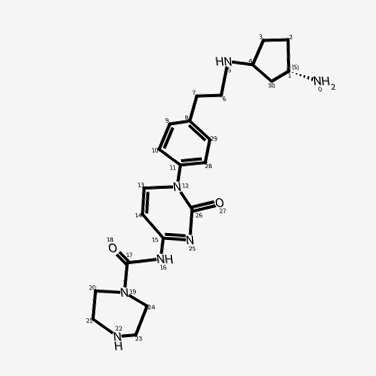 N[C@H]1CCC(NCCc2ccc(-n3ccc(NC(=O)N4CCNCC4)nc3=O)cc2)C1